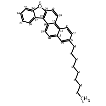 CCCCCCCCCc1ccc2c(ccc3c2ccc2oc4ccccc4c23)c1